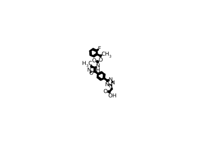 Cc1noc(-c2ccc(-c3nnn(CC(=O)O)n3)cc2)c1NC(=O)OC(C)c1ccccc1F